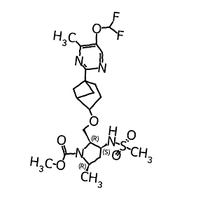 COC(=O)N1[C@H](C)C[C@H](NS(C)(=O)=O)[C@@H]1COC1CCC2(c3ncc(OC(F)F)c(C)n3)CC1C2